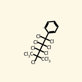 ClC(Cl)(Cl)C(Cl)(C(Cl)(Cl)Cl)C(Cl)(Cl)C(Cl)(Cl)C(Cl)(Cl)c1[c]cccc1